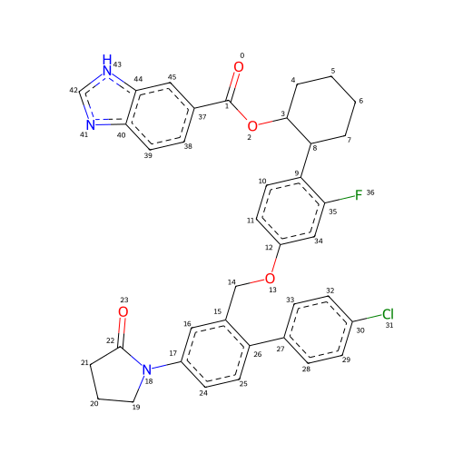 O=C(OC1CCCCC1c1ccc(OCc2cc(N3CCCC3=O)ccc2-c2ccc(Cl)cc2)cc1F)c1ccc2nc[nH]c2c1